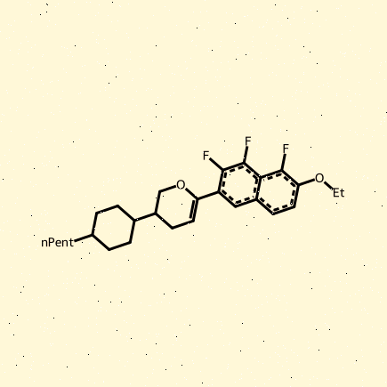 CCCCCC1CCC(C2CC=C(c3cc4ccc(OCC)c(F)c4c(F)c3F)OC2)CC1